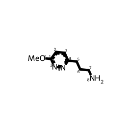 COc1ccc(CCCN)nn1